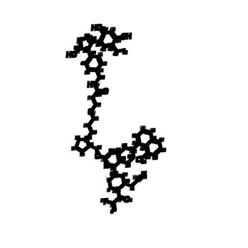 C=C(F)C(=O)N1CCN(c2nc(OC[C@@H]3CCCN3CCCOCCC(=O)NCc3ccc(-n4c(O)nnc4-c4cc(CC)c(O)cc4O)cc3)nc3c2CCN(c2cccc4cccc(Cl)c24)C3)C[C@@H]1CC#N